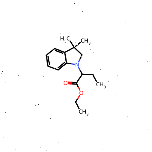 CCOC(=O)C(CC)N1CC(C)(C)c2ccccc21